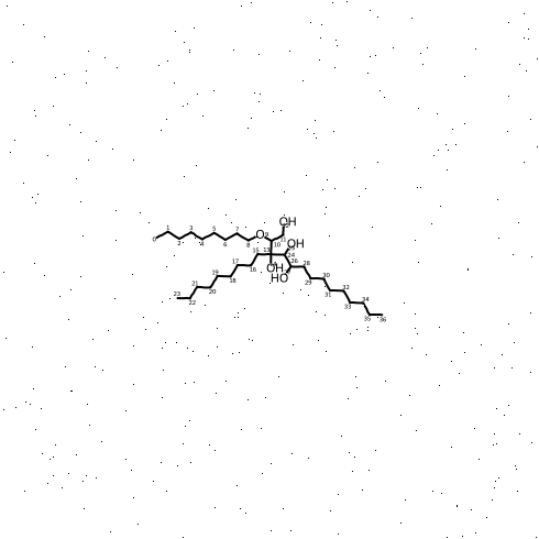 CCCCCCCCCOC(CO)C(O)(CCCCCCCCC)C(O)C(O)CCCCCCCCC